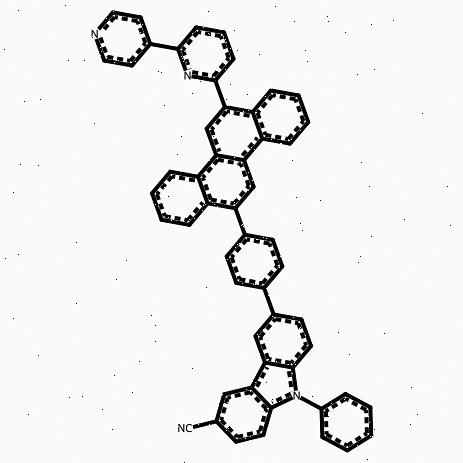 N#Cc1ccc2c(c1)c1cc(-c3ccc(-c4cc5c6ccccc6c(-c6cccc(-c7ccncc7)n6)cc5c5ccccc45)cc3)ccc1n2-c1ccccc1